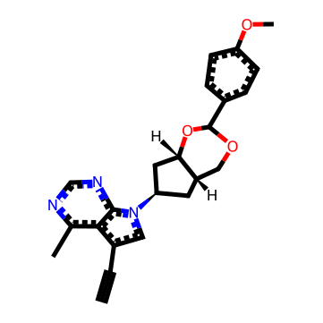 C#Cc1cn([C@@H]2C[C@H]3COC(c4ccc(OC)cc4)O[C@H]3C2)c2ncnc(C)c12